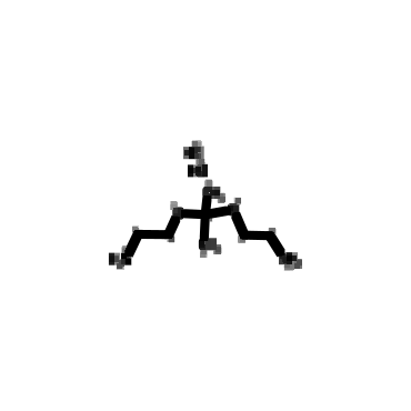 CC(C)(OCCN)OCCN.Cl.Cl